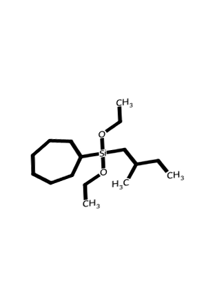 CCO[Si](CC(C)CC)(OCC)C1CCCCCC1